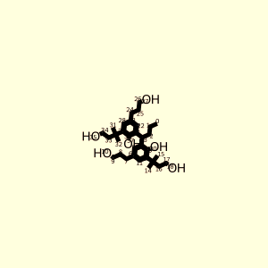 CCCC(c1cc(CCCO)cc(C(C)(C)CCO)c1O)c1cc(CCCO)cc(C(C)(C)CCO)c1O